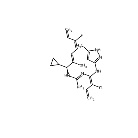 C=C/C(F)=C\C=C(/N)[C@@H](N/C(N)=N/C(Nc1cc(C)[nH]n1)=C(/Cl)C=C)C1CC1